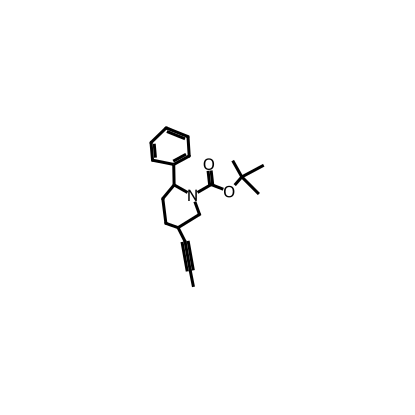 CC#CC1CCC(c2ccccc2)N(C(=O)OC(C)(C)C)C1